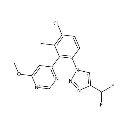 COc1cc(-c2c(-n3cc(C(F)F)nn3)ccc(Cl)c2F)ncn1